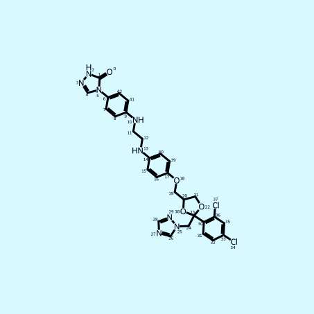 O=c1[nH]ncn1-c1ccc(NCCNc2ccc(OCC3COC(Cn4cncn4)(c4ccc(Cl)cc4Cl)O3)cc2)cc1